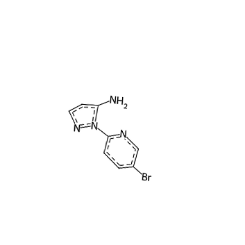 Nc1ccnn1-c1ccc(Br)cn1